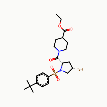 CCOC(=O)C1CCN(C(=O)[C@@H]2C[C@H](S)CN2S(=O)(=O)c2ccc(C(C)(C)C)cc2)CC1